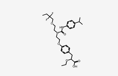 CCOC(Cc1ccc(OCCN(CCOCC(F)(F)CC)C(=O)Nc2ccc(C(C)C)cc2)cc1)C(=O)O